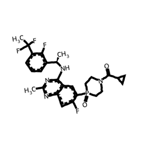 Cc1nc(N[C@H](C)c2cccc(C(C)(F)F)c2F)c2cc(P3(=O)CCN(C(=O)C4CC4)CC3)c(F)cc2n1